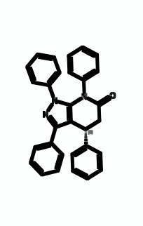 O=C1C[C@H](c2ccccc2)c2c(-c3ccccc3)nn(-c3ccccc3)c2N1c1ccccc1